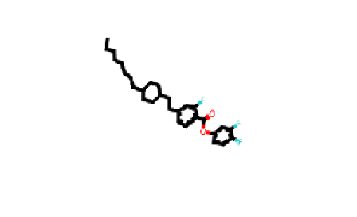 CCCCCCCCC1CCC(CCc2ccc(C(=O)Oc3ccc(F)c(F)c3)c(F)c2)CC1